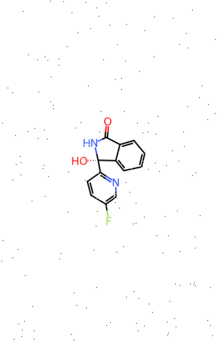 O=C1N[C@](O)(c2ccc(F)cn2)c2ccccc21